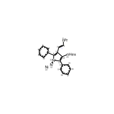 CCC/C=C/C1=C(c2ccccc2)[N+](=[N-])C(c2ccccc2)=C1CCCCCC.[Ni]